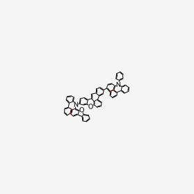 c1ccc(-c2ccccc2N(c2ccccc2)c2ccc(-c3ccc4cc5c6c(cccc6c4c3)Oc3cc(N(c4ccccc4-c4ccccc4)c4cccc6c4oc4ccccc46)ccc3-5)cc2)cc1